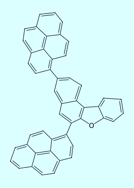 c1cc2ccc3ccc(-c4ccc5c(c4)cc(-c4ccc6ccc7cccc8ccc4c6c78)c4oc6ccccc6c45)c4ccc(c1)c2c34